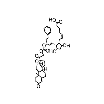 C[C@]12CCC(=O)C=C1CC[C@@H]1C2=CC[C@]23O[C@]2(C(=O)COC(=O)O[C@H](/C=C/[C@@H]2[C@@H](C/C=C\CCCC(=O)O)[C@@H](O)C[C@H]2O)CCc2ccccc2)CC[C@@H]13